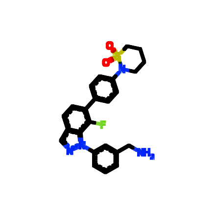 NCc1cccc(-n2ncc3ccc(-c4ccc(N5CCCCS5(=O)=O)cc4)c(F)c32)c1